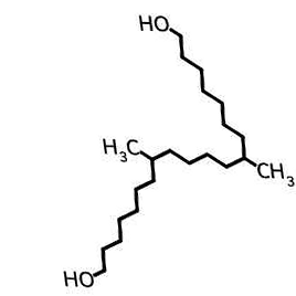 CC(CCCCCCCO)CCCCC(C)CCCCCCCO